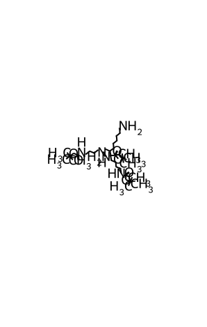 CC(C)(C)OC(=O)NCCCCNCC(CCCCCCN)C(N)(CCCCNC(=O)OC(C)(C)C)C(=O)OC(C)(C)C